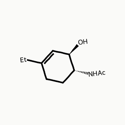 CCC1=C[C@@H](O)[C@H](NC(C)=O)CC1